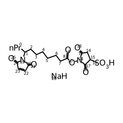 CCCC(CCCCCCC(=O)ON1C(=O)CC(S(=O)(=O)O)C1=O)N1C(=O)C=CC1=O.[NaH]